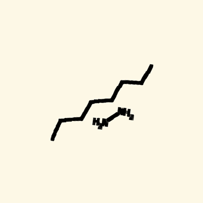 CCCCCCCC.NN